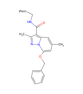 CCCC(C)CNC(=O)c1c(C)nn2c(OCc3ccccc3)cc(C)cc12